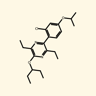 CCc1nc(-c2ccc(OC(C)C)cc2Cl)c(CC)nc1OC(CC)CC